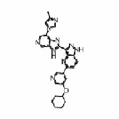 Cc1cn(-c2cncc3[nH]c(-c4n[nH]c5ccc(-c6cncc(OC7CCCCC7)c6)nc45)nc23)cn1